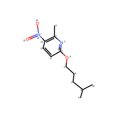 Cc1nc(OCCCC(C)C)ccc1[N+](=O)[O-]